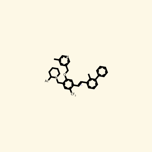 CC(=O)C1CCCCN1Cc1cc(C(F)(F)F)c(/C=C/c2cccc(-c3ccccc3)c2C)cc1OCc1cncc(C)c1